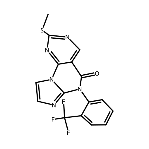 CSc1ncc2c(=O)n(-c3ccccc3C(F)(F)F)c3nccn3c2n1